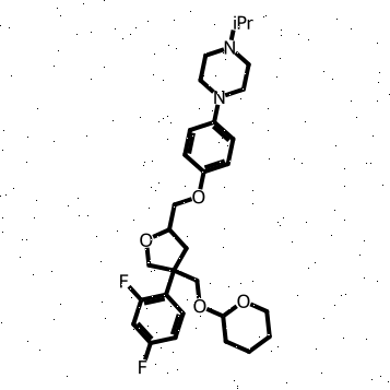 CC(C)N1CCN(c2ccc(OCC3CC(COC4CCCCO4)(c4ccc(F)cc4F)CO3)cc2)CC1